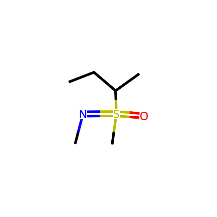 CCC(C)S(C)(=O)=NC